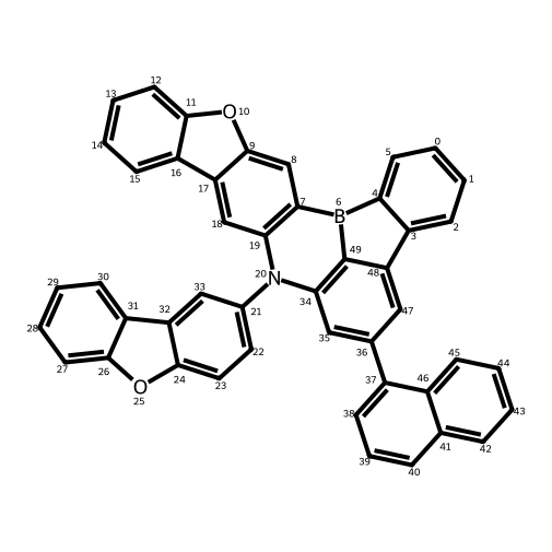 c1ccc2c(c1)B1c3cc4oc5ccccc5c4cc3N(c3ccc4oc5ccccc5c4c3)c3cc(-c4cccc5ccccc45)cc-2c31